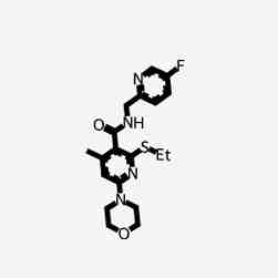 CCSc1nc(N2CCOCC2)cc(C)c1C(=O)NCc1ccc(F)cn1